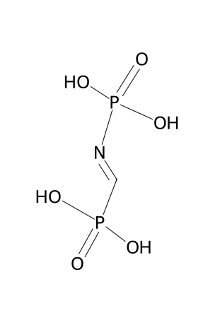 O=P(O)(O)C=NP(=O)(O)O